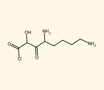 NCCCCC(N)C(=O)C(O)C(=O)Cl